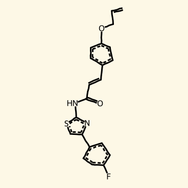 C=CCOc1ccc(C=CC(=O)Nc2nc(-c3ccc(F)cc3)cs2)cc1